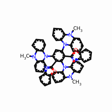 CN1c2ccccc2N(c2cc(N3c4ccccc4N(C)c4ccccc43)c(-c3nc4ccccc4o3)c(N3c4ccccc4N(C)c4ccccc43)c2-c2nc3ccccc3o2)c2ccccc21